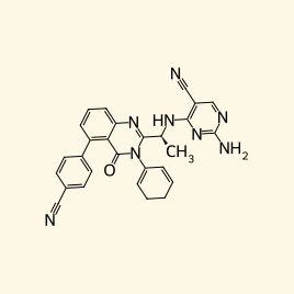 C[C@H](Nc1nc(N)ncc1C#N)c1nc2cccc(-c3ccc(C#N)cc3)c2c(=O)n1C1=CCCC=C1